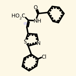 O=C(O)/C(=C/c1cnc(-c2ccccc2Cl)s1)NC(=O)c1ccccc1